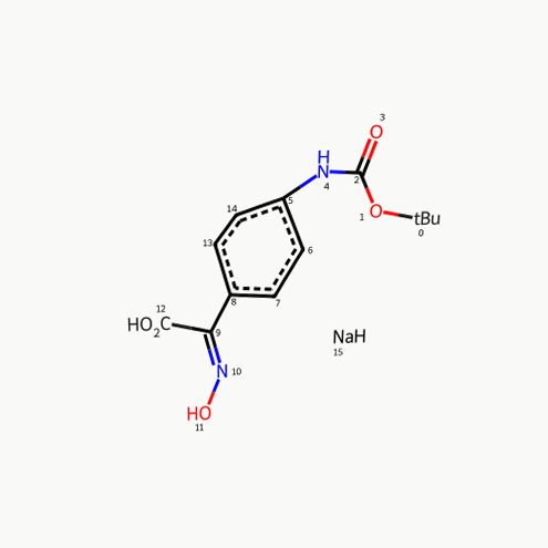 CC(C)(C)OC(=O)Nc1ccc(C(=NO)C(=O)O)cc1.[NaH]